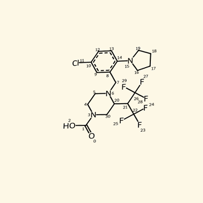 O=C(O)N1CCN(Cc2cc(Cl)ccc2N2CCCC2)C(C(C(F)(F)F)C(F)(F)F)C1